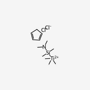 C1=CCC=C1.CN(C)[Si](C)(C)[Ti+2]([CH3])([CH3])([CH3])[CH3].[Cl-].[Cl-]